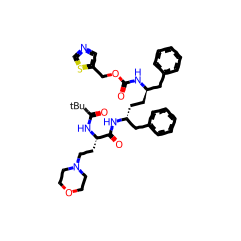 CC(C)(C)C(=O)N[C@@H](CCN1CCOCC1)C(=O)N[C@H](CC[C@H](Cc1ccccc1)NC(=O)OCc1cncs1)Cc1ccccc1